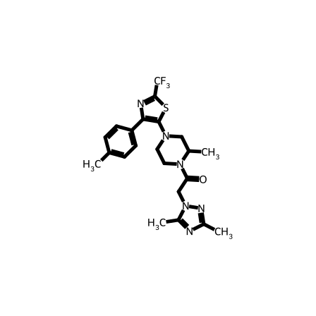 Cc1ccc(-c2nc(C(F)(F)F)sc2N2CCN(C(=O)Cn3nc(C)nc3C)C(C)C2)cc1